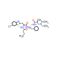 C=C(CN(CC)CC)C(=O)NC[C@H](Cc1ccccc1)NC(=O)[C@H](Cc1nc2ccc(Cl)cc2s1)NC(=O)CCC